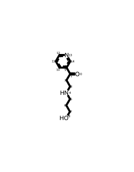 O=C(CCNCCCO)c1cccnc1